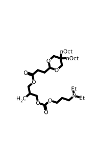 [CH2]C(COC(=O)CCC1OCC(CCCCCCCC)(CCCCCCCC)CO1)COC(=O)OCCCN(CC)CC